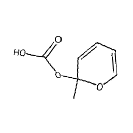 CC1(OC(=O)O)C=CC=CO1